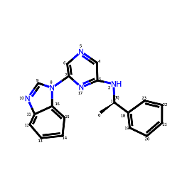 C[C@@H](Nc1cncc(-n2cnc3ccccc32)n1)c1ccccc1